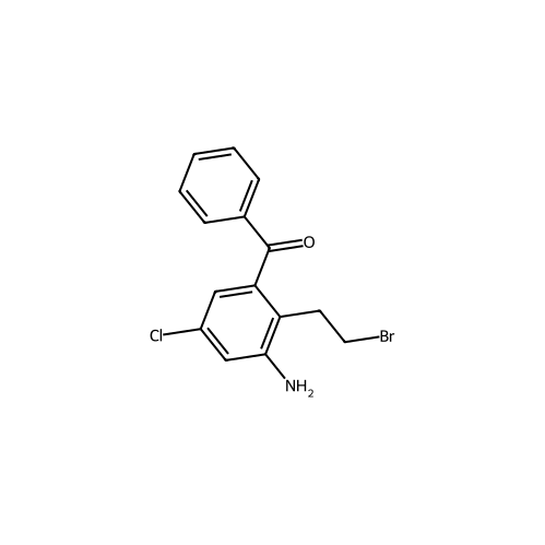 Nc1cc(Cl)cc(C(=O)c2ccccc2)c1CCBr